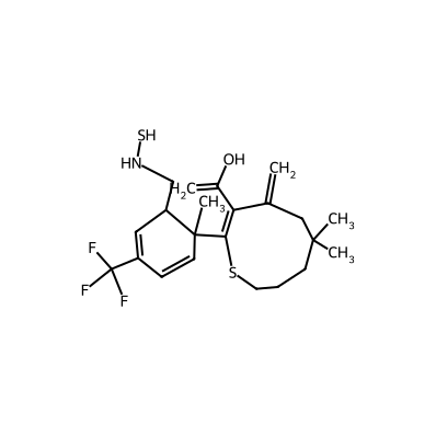 C=C(O)/C1=C(\C2(C)C=CC(C(F)(F)F)=CC2CNS)SCCCC(C)(C)CC1=C